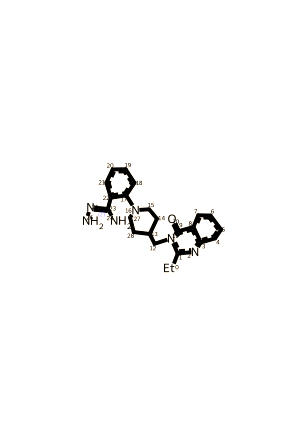 CCc1nc2ccccc2c(=O)n1CC1CCN(c2ccccc2/C(N)=N/N)CC1